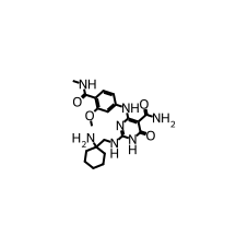 CNC(=O)c1ccc(Nc2nc(NCC3(N)CCCCC3)[nH]c(=O)c2C(N)=O)cc1OC